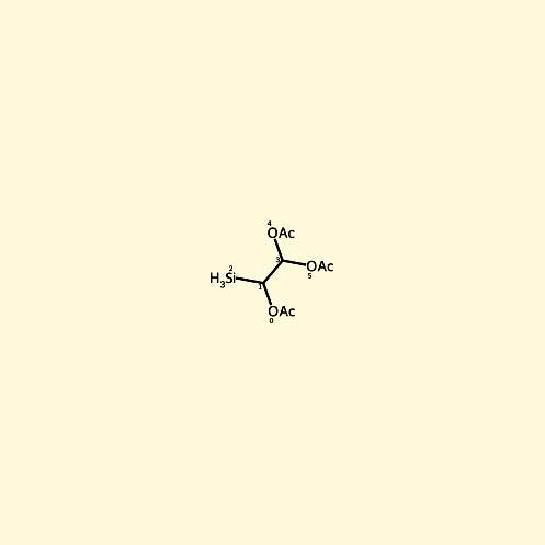 CC(=O)OC([SiH3])C(OC(C)=O)OC(C)=O